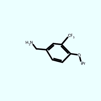 CC(C)Oc1ccc(CN)cc1C(F)(F)F